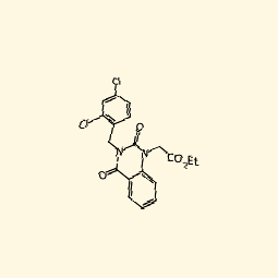 CCOC(=O)Cn1c(=O)n(Cc2ccc(Cl)cc2Cl)c(=O)c2ccccc21